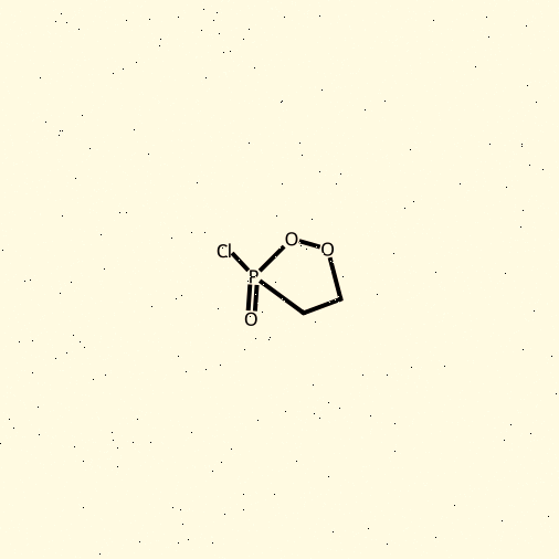 O=P1(Cl)CCOO1